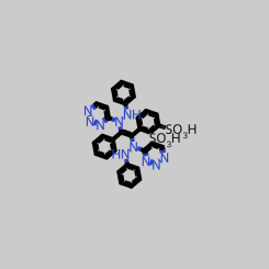 O=S(=O)(O)c1cccc(C(=C(c2ccccc2)N(Nc2ccccc2)c2ccnnn2)N(Nc2ccccc2)c2ccnnn2)c1S(=O)(=O)O